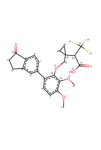 COc1ccc(-c2ccc3c(c2)CCC3=O)c(OCC2(C(C(=O)O)C(F)(F)F)CC2)c1OC